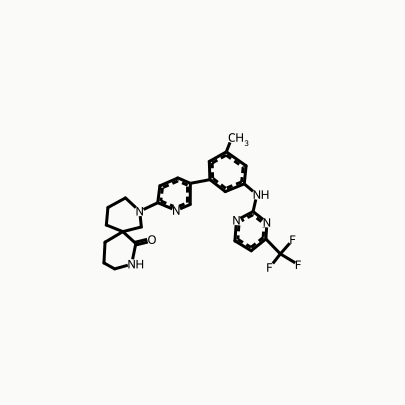 Cc1cc(Nc2nccc(C(F)(F)F)n2)cc(-c2ccc(N3CCCC4(CCCNC4=O)C3)nc2)c1